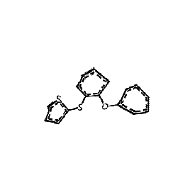 c1ccc(Oc2ccccc2Sc2cccs2)cc1